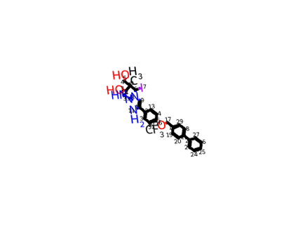 CC(CO)(CO)C(I)N(/C=C(\N)c1ccc(OCc2ccc(-c3ccccc3)cc2)c(C(F)(F)F)c1)N=N